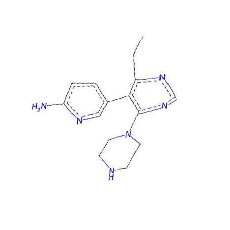 CCc1ncnc(N2CCNCC2)c1-c1ccc(N)nc1